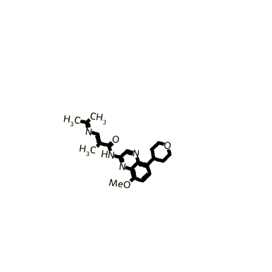 COc1ccc(C2CCOCC2)c2ncc(NC(=O)/C(C)=C/N=C(C)C)nc12